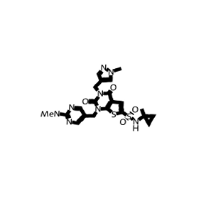 CNc1ncc(Cn2c(=O)n(Cc3cnn(C)c3)c(=O)c3cc(S(=O)(=O)NC4(C)CC4)sc32)cn1